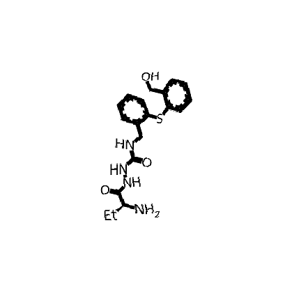 CC[C@H](N)C(=O)NNC(=O)NCc1ccccc1Sc1ccccc1CO